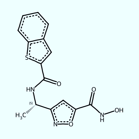 C[C@H](NC(=O)c1cc2ccccc2s1)c1cc(C(=O)NO)on1